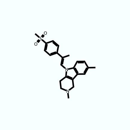 CC(=Cn1c2c(c3cc(C)ccc31)CN(C)CC2)c1ccc(S(C)(=O)=O)cc1